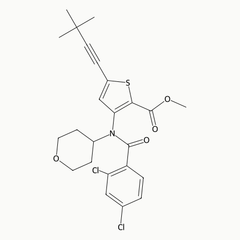 COC(=O)c1sc(C#CC(C)(C)C)cc1N(C(=O)c1ccc(Cl)cc1Cl)C1CCOCC1